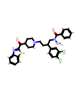 CN(CC(CCN1CCC(C(=O)c2nc3ccccc3s2)CC1)c1ccc(Cl)c(Cl)c1)C(=O)c1ccccc1